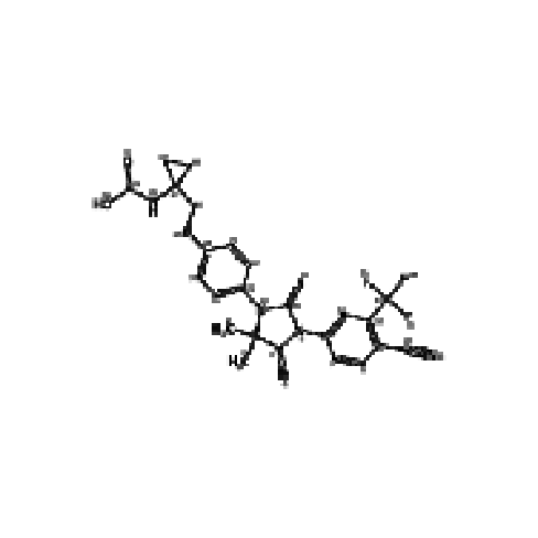 CC1(C)C(=O)N(c2ccc(C#N)c(C(F)(F)F)c2)C(=S)N1c1ccc(OCC2(NC(=O)O)CC2)cc1